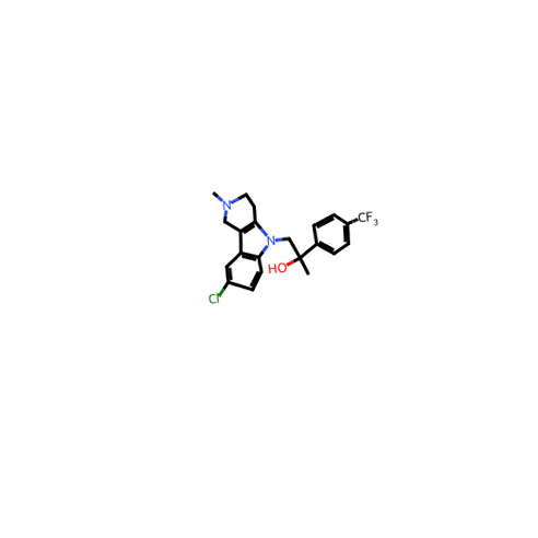 CN1CCc2c(c3cc(Cl)ccc3n2CC(C)(O)c2ccc(C(F)(F)F)cc2)C1